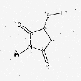 CC(C)N1C(=O)CC(SI)C1=O